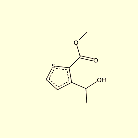 COC(=O)c1sccc1C(C)O